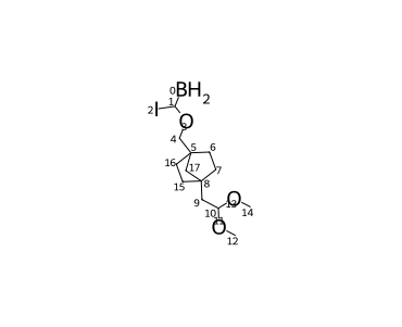 BC(I)OCC12CCC(CC(OC)OC)(CC1)C2